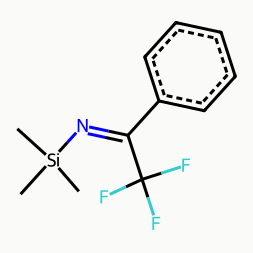 C[Si](C)(C)/N=C(/c1ccccc1)C(F)(F)F